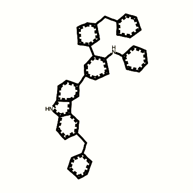 c1ccc(Cc2cccc(-c3cc(-c4ccc5[nH]c6ccc(Cc7ccccc7)cc6c5c4)ccc3Nc3ccccc3)c2)cc1